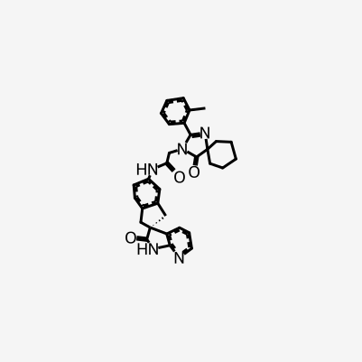 Cc1ccccc1C1=NC2(CCCCC2)C(=O)N1CC(=O)Nc1ccc2c(c1)C[C@@]1(C2)C(=O)Nc2ncccc21